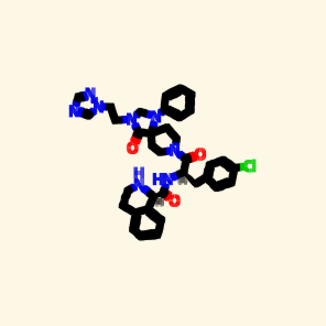 O=C(N[C@H](Cc1ccc(Cl)cc1)C(=O)N1CCC2(CC1)C(=O)N(CCn1cncn1)CN2c1ccccc1)[C@@H]1NCCc2ccccc21